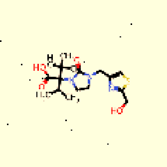 CC(C)C(C(=O)O)(N1CCN(Cc2csc(CO)n2)C1=O)C(C)(C)C